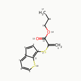 C=C(Sc1ccc2cccsc1-2)C(=O)OCCC